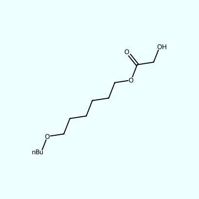 CCCCOCCCCCCOC(=O)CO